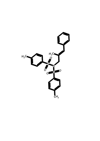 C/C(=C\c1ccccc1)CN(S(=O)(=O)c1ccc(C)cc1)S(=O)(=O)c1ccc(C)cc1